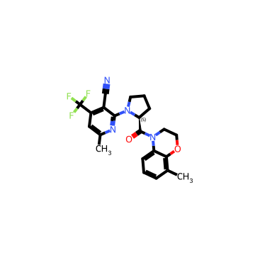 Cc1cc(C(F)(F)F)c(C#N)c(N2CCC[C@H]2C(=O)N2CCOc3c(C)cccc32)n1